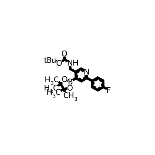 CC(C)(C)OC(=O)NCc1cnc(-c2ccc(F)cc2)cc1B1OC(C)(C)C(C)(C)O1